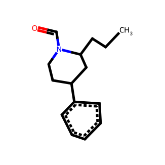 CCCC1CC(c2ccccc2)CCN1C=O